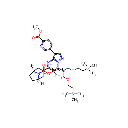 COC(=O)c1ccc(-c2cnn3c(N(COCC[Si](C)(C)C)COCC[Si](C)(C)C)cc([C@H]4C[C@H]5CC[C@@H](C4)N5C(=O)OC(C)(C)C)nc23)cn1